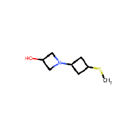 CSC1CC(N2CC(O)C2)C1